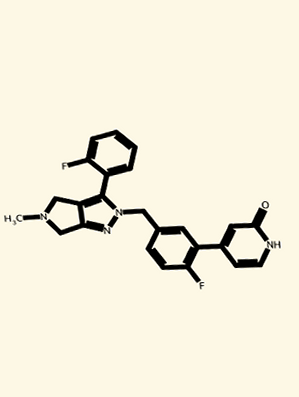 CN1Cc2nn(Cc3ccc(F)c(-c4cc[nH]c(=O)c4)c3)c(-c3ccccc3F)c2C1